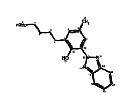 CCCCCCCCCCCCCCc1cc(C)cc(-n2nc3ccccc3n2)c1O